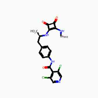 CCCCCNc1c(N[C@@H](Cc2ccc(NC(=O)c3c(Cl)cncc3Cl)cc2)C(=O)O)c(=O)c1=O